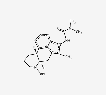 CCCN1CCC[C@@H]2c3cccc4c3c(c(C)n4NC(=S)N(C)C)C[C@H]21